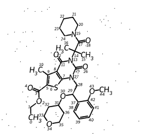 CCOC(=O)c1sc2c(c1C)c(=O)n(C(C)(C)C(=O)N1CCCCC1)c(=O)n2C[C@H](OC1CCOCC1)c1ccccc1OC